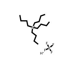 CCCC[N+](CCCC)(CCCC)CCCC.F[B-](F)(F)F.[H+]